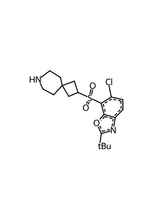 CC(C)(C)c1nc2ccc(Cl)c(S(=O)(=O)C3CC4(CCNCC4)C3)c2o1